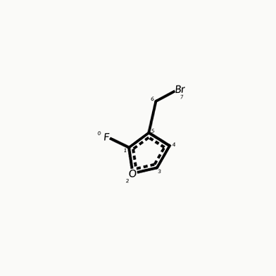 Fc1occc1CBr